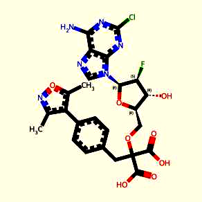 Cc1noc(C)c1-c1ccc(CC(OC[C@H]2O[C@@H](n3cnc4c(N)nc(Cl)nc43)[C@@H](F)[C@@H]2O)(C(=O)O)C(=O)O)cc1